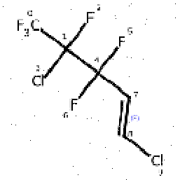 FC(F)(F)C(F)(Cl)C(F)(F)/C=C/Cl